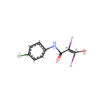 O=C(Nc1ccc(Cl)cc1)C(I)=C(Br)I